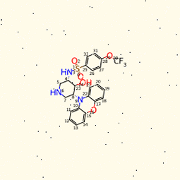 O=S(=O)(N[C@H]1CNC[C@@H](N2c3ccccc3Oc3ccccc32)[C@@H]1O)c1ccc(OC(F)(F)F)cc1